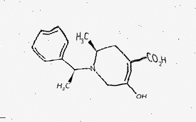 C[C@H]1CC(C(=O)O)=C(O)CN1[C@@H](C)c1ccccc1